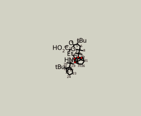 CCC(OC(=O)C(CC(C)(C)C(C)(C)C(C(C)(C)NC(C)(C)C1C2CCC(C2)C1C(C)(C)C)C1(C)C2CC3CC(C2)C1C3)C(C)(C)C)C(=O)O